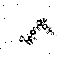 C=CC(=O)N[C@@H]1CCCN(C2(c3ccnc(C(=O)Nc4ccc(-c5cc6c(N7CCOCC7)ncnc6[nH]5)cc4)c3)COC2)C1